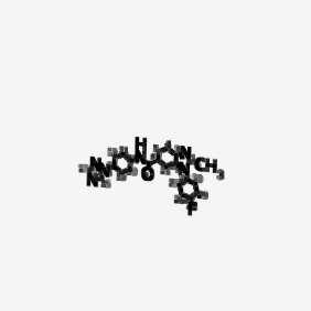 Cc1nc2ccc(C(=O)Nc3ccc(-n4cncn4)cc3)cc2n1-c1ccc(F)cc1